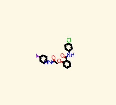 O=C(COc1ccccc1C(=O)Nc1ccc(Cl)cc1)Nc1ccc(I)cc1